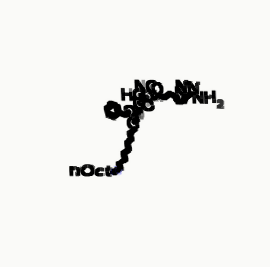 CCCCCCCC/C=C\CCCCCCCCOC[C@H](COP(=O)(O)OC[C@H](CCc1ccc2c(N)ncnn12)OC#N)OCc1ccccc1